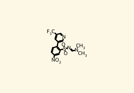 CN(C)C=NS(=O)(=O)c1cc([N+](=O)[O-])ccc1-c1cncc(C(F)(F)F)c1